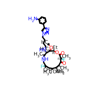 B[C@@H]1[C@@H](C)C(=O)[C@](C)(F)C(=O)O[C@H](CC)[C@@](C)(OC#C)[C@H](NCCCCn2cc(-c3cccc(N)c3)nn2)[C@@H](C)NCC(C)(F)C[C@@]1(C)OC